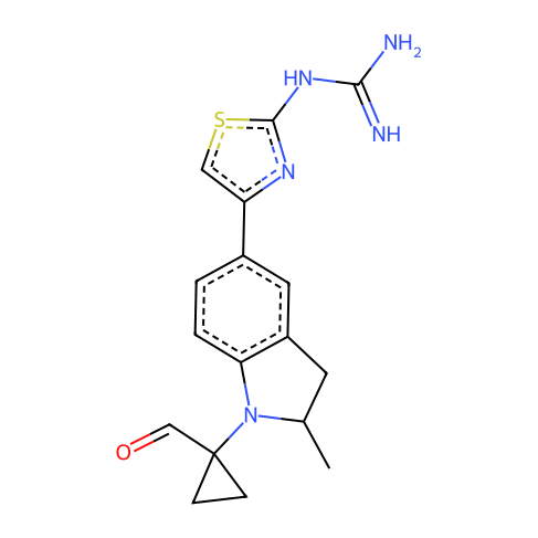 CC1Cc2cc(-c3csc(NC(=N)N)n3)ccc2N1C1(C=O)CC1